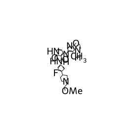 COCCN1CCC(c2ccc(NC(=O)c3c(Nc4cnc5c(c4C)NCCO5)cc[nH]c3=O)cc2F)CC1